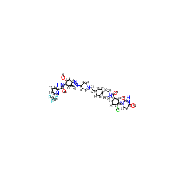 COc1cc2nn(C3CCN(CCC4CCC5(CC4)CCN(C(=O)c4ccc(Cl)c(N6CCC(=O)NC6=O)c4)CC5)CC3)cc2cc1NC(=O)c1cccc(C(F)(F)F)n1